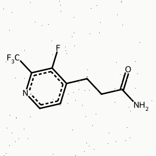 NC(=O)C[CH]c1ccnc(C(F)(F)F)c1F